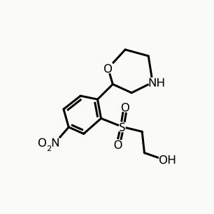 O=[N+]([O-])c1ccc(C2CNCCO2)c(S(=O)(=O)CCO)c1